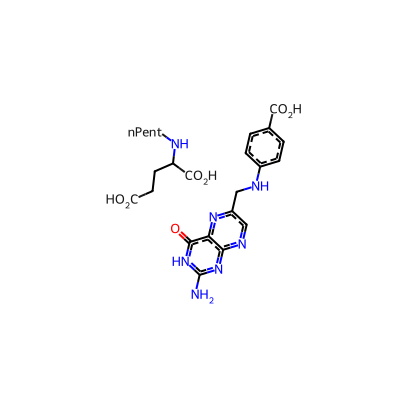 CCCCCNC(CCC(=O)O)C(=O)O.Nc1nc2ncc(CNc3ccc(C(=O)O)cc3)nc2c(=O)[nH]1